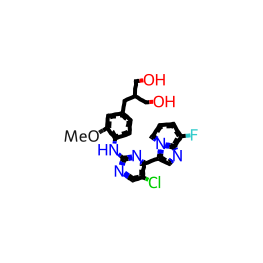 COc1cc(CC(CO)CO)ccc1Nc1ncc(Cl)c(-c2cnc3c(F)cccn23)n1